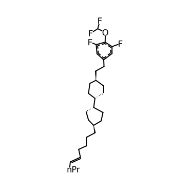 CCC/C=C/CCCC[C@H]1CC[C@H]([C@H]2CC[C@H](CCc3cc(F)c(OC(F)F)c(F)c3)CC2)CC1